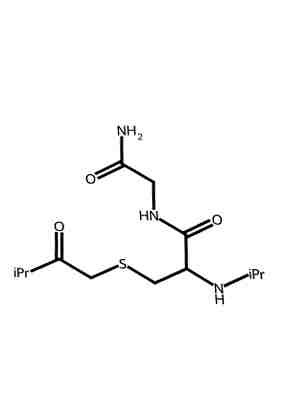 CC(C)NC(CSCC(=O)C(C)C)C(=O)NCC(N)=O